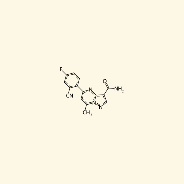 Cc1cc(-c2ccc(F)cc2C#N)nc2c(C(N)=O)cnn12